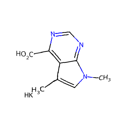 Cc1cn(C)c2ncnc(C(=O)O)c12.[KH]